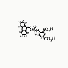 O=C(NCc1ccc(C(=O)O)cc1S(=O)(=O)O)OCC1c2ccccc2-c2ccccc21